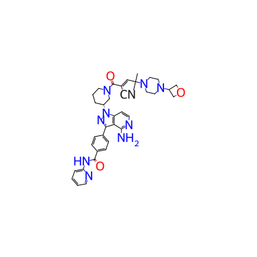 CC(C)(/C=C(\C#N)C(=O)N1CCC[C@@H](n2nc(-c3ccc(C(=O)Nc4ccccn4)cc3)c3c(N)nccc32)C1)N1CCN(C2COC2)CC1